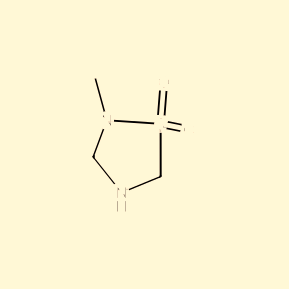 CN1CNCS1(=O)=O